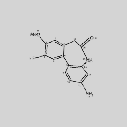 COc1cc2c(cc1F)-c1ccc(N)cc1NC(=O)C2